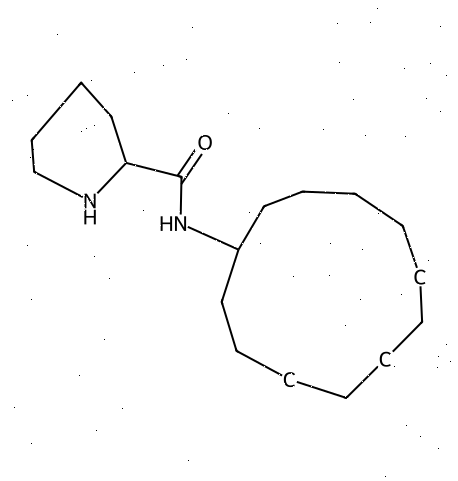 O=C(NC1CCCCCCCCCCC1)C1CCCCN1